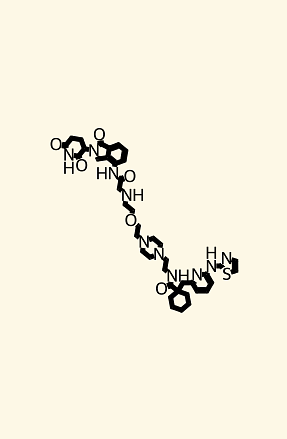 O=C1CCC(N2Cc3c(NC(=O)CNCCOCCN4CCN(CCNC(=O)C5(Cc6cccc(Nc7nccs7)n6)CCCCC5)CC4)cccc3C2=O)C(=O)N1